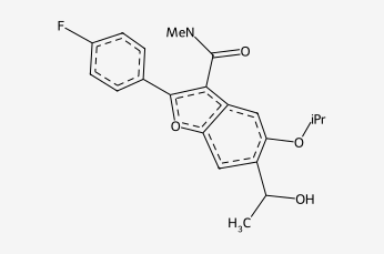 CNC(=O)c1c(-c2ccc(F)cc2)oc2cc(C(C)O)c(OC(C)C)cc12